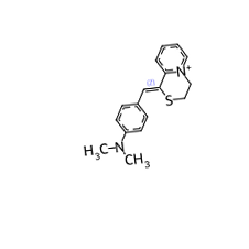 CN(C)c1ccc(/C=C2\SCC[n+]3ccccc32)cc1